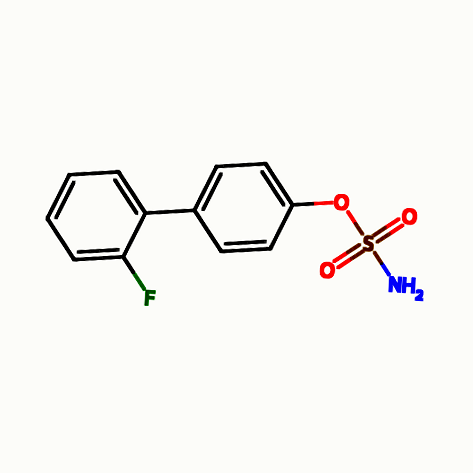 NS(=O)(=O)Oc1ccc(-c2ccccc2F)cc1